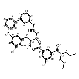 CCCN(CCC)C(=O)c1cc(C)cc(C(=O)O[C@H](CNCc2cccc(-c3cccnc3)c2)[C@@H](N)Cc2cc(F)cc(F)c2)c1